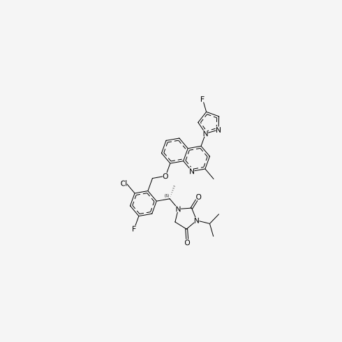 Cc1cc(-n2cc(F)cn2)c2cccc(OCc3c(Cl)cc(F)cc3[C@H](C)N3CC(=O)N(C(C)C)C3=O)c2n1